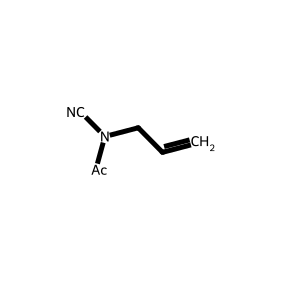 C=CCN(C#N)C(C)=O